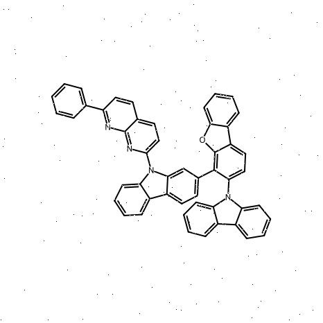 c1ccc(-c2ccc3ccc(-n4c5ccccc5c5ccc(-c6c(-n7c8ccccc8c8ccccc87)ccc7c6oc6ccccc67)cc54)nc3n2)cc1